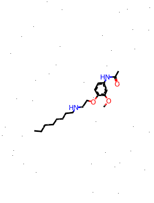 CCCCCCCCNCCOc1ccc(NC(C)=O)cc1OC